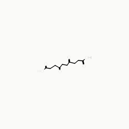 O=C(O)CCC(=O)CCC(=O)CCC(=O)O